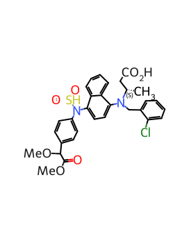 COC(=O)C(OC)c1ccc(N(c2ccc(N(Cc3ccccc3Cl)[C@@H](C)CC(=O)O)c3ccccc23)[SH](=O)=O)cc1